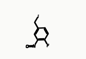 O=Nc1cc(CI)ccc1F